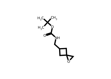 CC(C)(C)OC(=O)NCC1CC2(CO2)C1